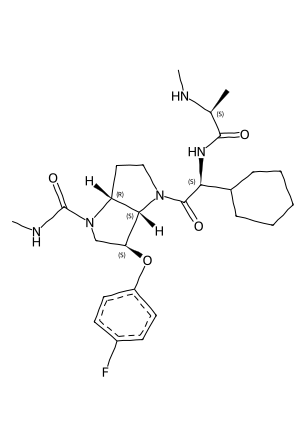 CNC(=O)N1C[C@H](Oc2ccc(F)cc2)[C@@H]2[C@H]1CCN2C(=O)[C@@H](NC(=O)[C@H](C)NC)C1CCCCC1